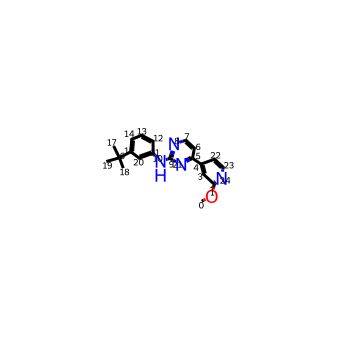 COc1cc(-c2ccnc(Nc3cccc(C(C)(C)C)c3)n2)ccn1